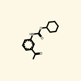 CC(=O)c1cccc(NC(=O)OC2CCCCC2)c1